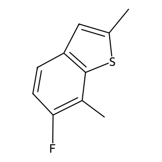 Cc1cc2ccc(F)c(C)c2s1